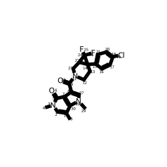 Cc1cn(C)c(=O)c2c(C(=O)N3CCC4(c5ccc(Cl)cc5)C(C3)C4(F)F)cn(C)c12